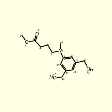 COC(=O)CCCN(C)c1cc(CO)cc(CO)c1